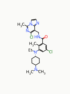 CCN(c1cc(Cl)cc(C(=O)NCc2c(Cl)nc(C)n3ccnc23)c1C)[C@H]1CC[C@H](N(C)C)CC1